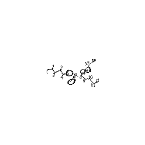 CCCCCOC(=O)C(CCCC)OOCC